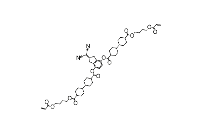 C=CC(=O)OCCCCOC(=O)C1CCC(C2CCC(C(=O)Oc3ccc(OC(=O)C4CCC(C5CCC(C(=O)OCCCCOC(=O)C=C)CC5)CC4)c4c3CC(=C(C#N)C#N)C4)CC2)CC1